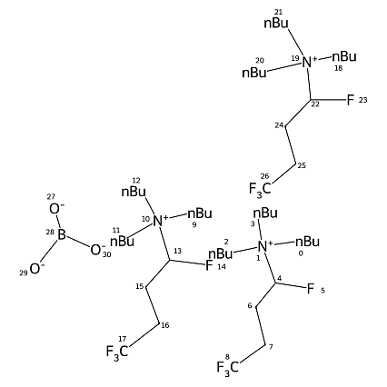 CCCC[N+](CCCC)(CCCC)C(F)CCC(F)(F)F.CCCC[N+](CCCC)(CCCC)C(F)CCC(F)(F)F.CCCC[N+](CCCC)(CCCC)C(F)CCC(F)(F)F.[O-]B([O-])[O-]